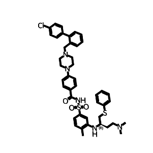 Cc1ccc(S(=O)(=O)NC(=O)c2ccc(N3CCN(Cc4ccccc4-c4ccc(Cl)cc4)CC3)cc2)cc1N[C@H](CCN(C)C)CSc1ccccc1